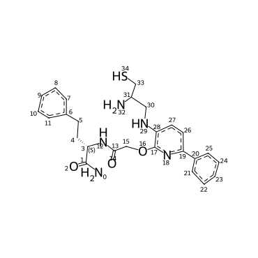 NC(=O)[C@H](CCc1ccccc1)NC(=O)COc1nc(-c2ccccc2)ccc1NCC(N)CS